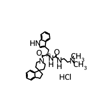 CN(C)CCNC(=O)N[C@H](Cc1c[nH]c2ccccc12)C(=O)N1CCC2(CCc3ccccc32)CC1.Cl